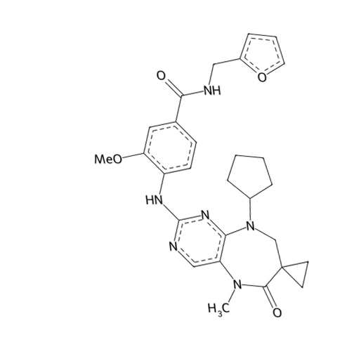 COc1cc(C(=O)NCc2ccco2)ccc1Nc1ncc2c(n1)N(C1CCCC1)CC1(CC1)C(=O)N2C